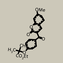 CCOC(=O)C(C)(C)Oc1ccc(C(=O)c2cc3ccc(OC)cc3oc2=O)cc1